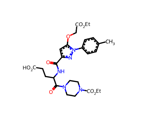 CCOC(=O)COc1cc(C(=O)NC(CCC(=O)O)C(=O)N2CCN(C(=O)OCC)CC2)nn1-c1ccc(C)cc1